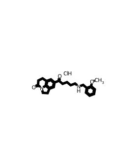 COc1ccccc1CNCCCCC(=O)c1cc2c3c(c1)CCN3C(=O)CC2.Cl